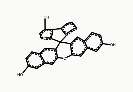 Oc1ccc2cc3c(cc2c1)Oc1cc2cc(O)ccc2cc1C31c2ccccc2-c2c(O)cccc21